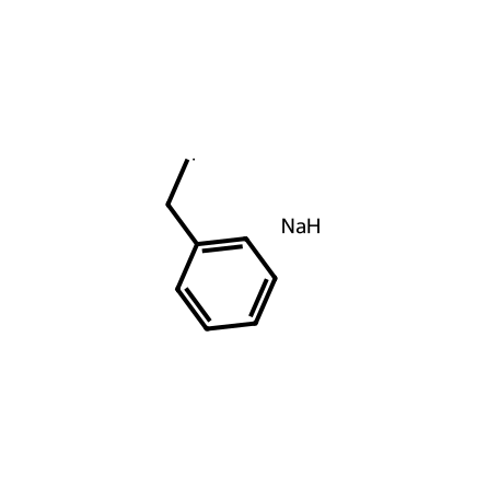 [CH2]Cc1ccccc1.[NaH]